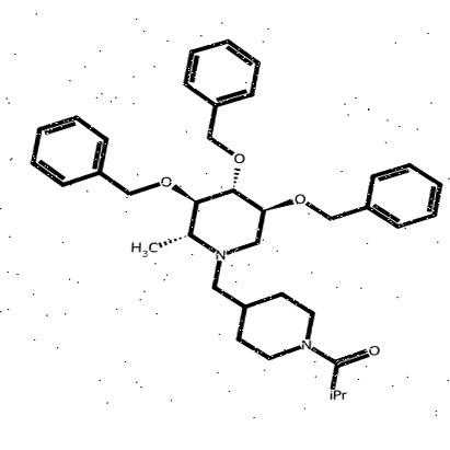 CC(C)C(=O)N1CCC(CN2C[C@H](OCc3ccccc3)[C@@H](OCc3ccccc3)[C@H](OCc3ccccc3)[C@H]2C)CC1